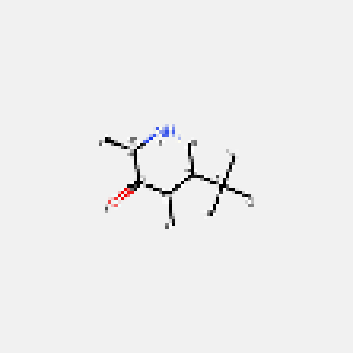 CC(C(=O)[C@@H](C)N)C(C)C(C)(C)C